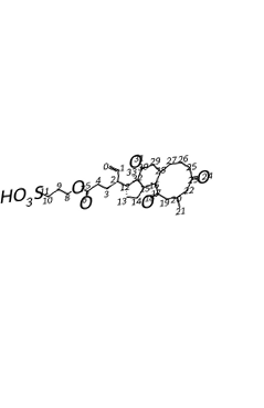 C=C[C@H](CCC(=O)OCCCS(=O)(=O)O)[C@H]1CCC2C3C(=O)CC(C)CC(=O)CCCC3CC(=O)[C@@]21C